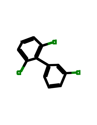 Clc1cccc(-c2c(Cl)c[c]cc2Cl)c1